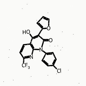 O=c1c(-c2ccco2)c(O)c2ccc(C(F)(F)F)nc2n1-c1ccc(Cl)cc1